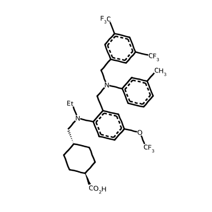 CCN(C[C@H]1CC[C@H](C(=O)O)CC1)c1ccc(OC(F)(F)F)cc1CN(Cc1cc(C(F)(F)F)cc(C(F)(F)F)c1)c1cccc(C)c1